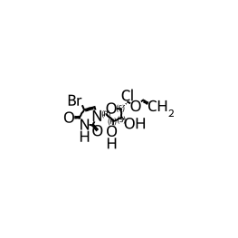 C=COC(Cl)[C@H]1O[C@@H](n2cc(Br)c(=O)[nH]c2=O)[C@H](O)[C@@H]1O